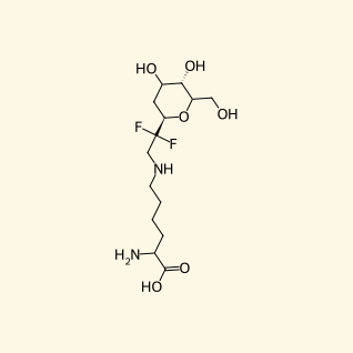 NC(CCCCNCC(F)(F)[C@H]1CC(O)[C@H](O)C(CO)O1)C(=O)O